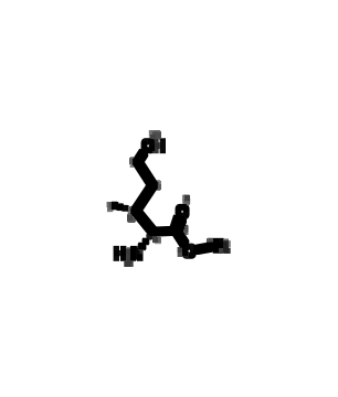 CCOC(=O)[C@H](N)[C@H](C)CCO